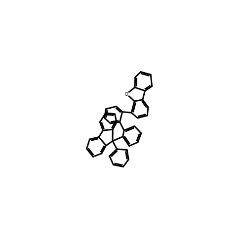 c1ccc(C2(c3ccccc3-c3ccccc3-c3cccc4c3oc3ccccc34)c3ccccc3-c3ccccc32)cc1